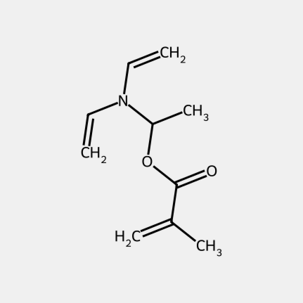 C=CN(C=C)C(C)OC(=O)C(=C)C